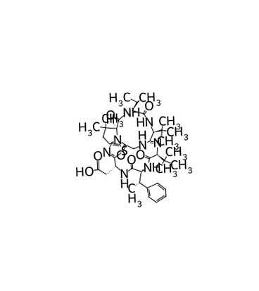 CC(C)[C@@H]1NC(=O)[C@H]2N(CCC2(C)C)C(=O)CN/C(=N\[C@H](C(=O)N[C@H](C(=O)N[C@H](CC(=O)O)c2nccs2)[C@@H](C)c2ccccc2)C(C)(C)C)[C@H](C(C)(C)C)NC1=O